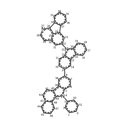 c1ccc(-n2c3ccc(-c4ccc5c(c4)c4ccccc4n5-c4cc5c6c(nccc6c4)-c4ccccc4-5)cc3c3ccc4ccccc4c32)cc1